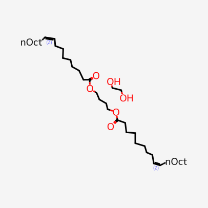 CCCCCCCC/C=C\CCCCCCCC(=O)OCCCCOC(=O)CCCCCCC/C=C\CCCCCCCC.OCCO